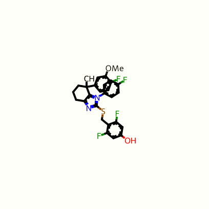 COc1cc(C2(C)CCCc3nc(SCc4c(F)cc(O)cc4F)n(-c4ccc(F)cc4)c32)ccc1F